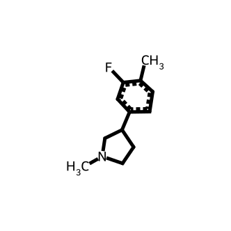 Cc1ccc(C2CCN(C)C2)cc1F